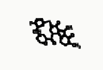 CN1CCn2c(c(O)c3c2C(C(=O)C2CNCCO2)CN(Cc2ccc(F)c(Cl)c2)C3=O)C1=O